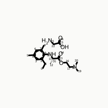 CCc1cc(C)cc(C)c1N[C@@H](C)C(=O)OCCN(C)C.NCC(=O)O